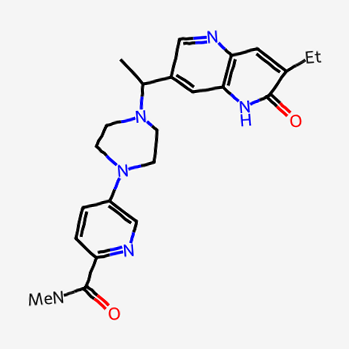 CCc1cc2ncc(C(C)N3CCN(c4ccc(C(=O)NC)nc4)CC3)cc2[nH]c1=O